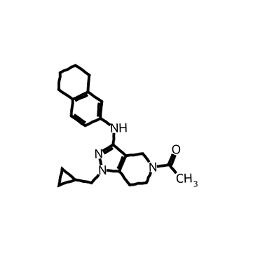 CC(=O)N1CCc2c(c(Nc3ccc4c(c3)CCCC4)nn2CC2CC2)C1